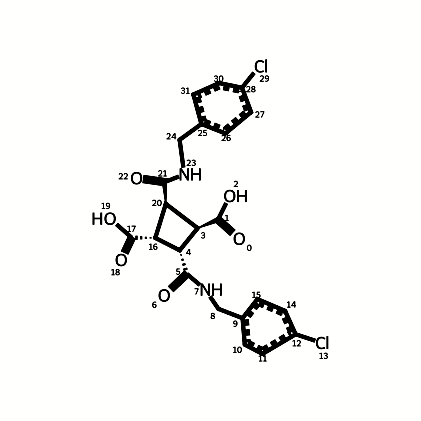 O=C(O)[C@H]1[C@H](C(=O)NCc2ccc(Cl)cc2)[C@H](C(=O)O)[C@H]1C(=O)NCc1ccc(Cl)cc1